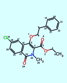 CCOC(=O)c1c(OCCc2ccccc2)c2cc(Cl)ccc2c(=O)n1C